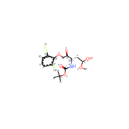 COC(O)C[C@H](NC(=O)OC(C)(C)C)C(=O)COc1c(F)cccc1F